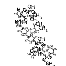 CCCCC1(CCCC)c2cc(-c3cnc([C@@H]4CCCN4C(=O)[C@H](C(C)C)N(C)C(=O)O)[nH]3)ccc2-c2ccc(N(C(=O)O)[C@H]3CC4(CN3C(=O)[C@H](NC(=O)OC)c3ccccc3)OCCO4)cc21